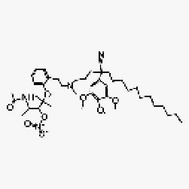 CCCCCCCCCCCCC(C#N)(CCCN(C)CCc1ccccc1OC(C)(C)C(O[N+](=O)[O-])C(C)NC(C)=O)c1cc(OC)c(OC)c(OC)c1